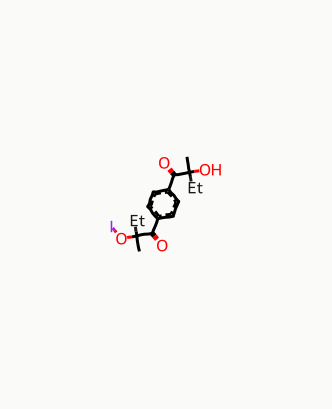 CCC(C)(O)C(=O)c1ccc(C(=O)C(C)(CC)OI)cc1